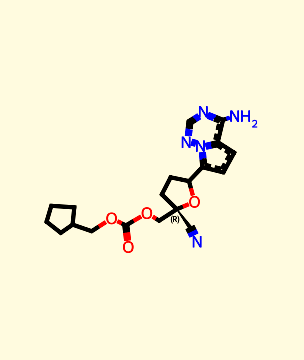 N#C[C@@]1(COC(=O)OCC2CCCC2)CCC(c2ccc3c(N)ncnn23)O1